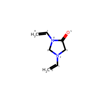 C=CN1CC(=O)N(C=C)C1